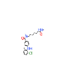 CNC(=O)CCCCCCN(C)C(=O)c1ccc(Nc2c(C)cccc2Cl)cc1